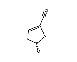 C#CC1=CC[PH](=O)S1